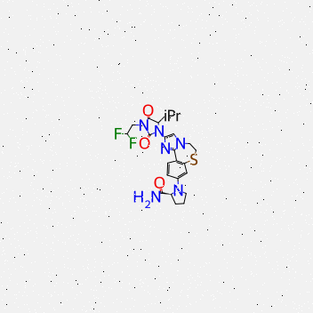 CC(C)C1C(=O)N(CC(F)F)C(=O)N1c1cn2c(n1)-c1ccc(N3CCC[C@H]3C(N)=O)cc1SCC2